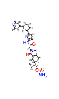 NC(=O)OCC1(c2cccc(C(=O)NCC(=O)Nc3nc(-c4cccc(-c5ccncc5)c4)cs3)c2)CC1